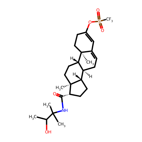 CC(O)C(C)(C)NC(=O)[C@H]1CC[C@H]2[C@@H]3CC=C4C=C(OS(=O)(=O)C(F)(F)F)CC[C@]4(C)[C@H]3CC[C@]12C